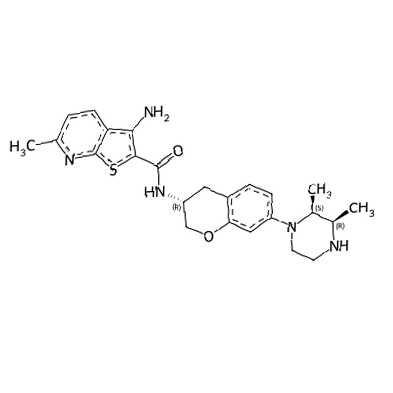 Cc1ccc2c(N)c(C(=O)N[C@H]3COc4cc(N5CCN[C@H](C)[C@@H]5C)ccc4C3)sc2n1